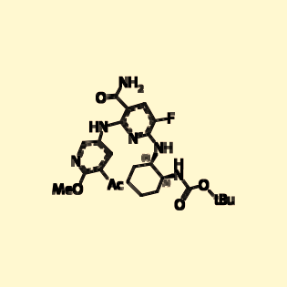 COc1ncc(Nc2nc(N[C@@H]3CCCC[C@@H]3NC(=O)OC(C)(C)C)c(F)cc2C(N)=O)cc1C(C)=O